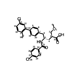 COC[C@H](C[C@@H](Cc1ccc(-c2cc(Cl)ccc2F)cc1)NC(=O)c1ccc(Cl)cn1)C(=O)O